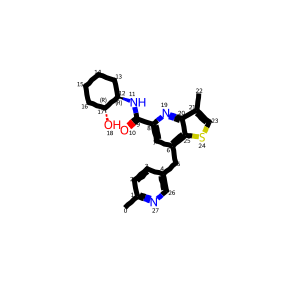 Cc1ccc(Cc2cc(C(=O)N[C@@H]3CCCC[C@H]3O)nc3c(C)csc23)cn1